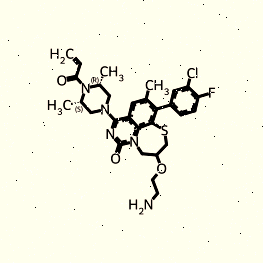 C=CC(=O)N1[C@H](C)CN(c2nc(=O)n3c4c(c(-c5ccc(F)c(Cl)c5)c(C)cc24)SCC(OCCN)C3)C[C@@H]1C